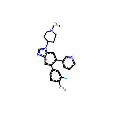 Cc1ccc(-c2cc3ncn(C4CCN(C)CC4)c3cc2-c2cccnc2)cc1F